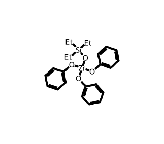 CC[Si](CC)(CC)[O][Zr]([O]c1ccccc1)([O]c1ccccc1)[O]c1ccccc1